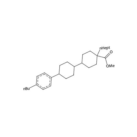 CCCCCCCC1(C(=O)OC)CCC(C2CCC(c3ccc(CCCC)cc3)CC2)CC1